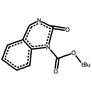 CC(C)(C)OC(=O)n1c(=O)ncc2ccccc21